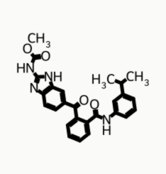 COC(=O)Nc1nc2ccc(C(=O)c3ccccc3C(=O)Nc3cccc(C(C)C)c3)cc2[nH]1